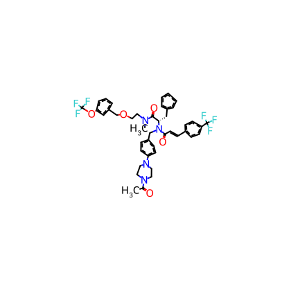 CC(=O)N1CCN(c2ccc(CN(C(=O)C=Cc3ccc(C(F)(F)F)cc3)[C@@H](Cc3ccccc3)C(=O)N(C)CCOCc3cccc(OC(F)(F)F)c3)cc2)CC1